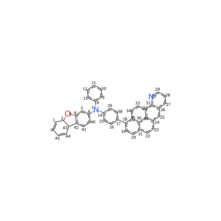 C1=CC2Oc3cc(N(c4ccccc4)c4ccc(-c5ccc6ccc7cc8cccnc8c8ccc5c6c78)cc4)ccc3C2C=C1